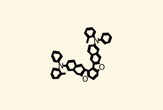 Cc1ccccc1N(C1=CC2Cc3oc4ccc5oc6cc7cc(N(c8ccccc8)c8ccccc8C)ccc7cc6c5c4c3C=C2C=C1)c1ccccc1